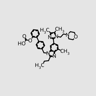 CCCc1nc2c(C)cc(-c3nc(C)c(C)n3CCN3CCOCC3)cc2n1Cc1ccc(-c2ccccc2OC(=O)O)cc1